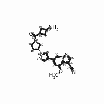 COc1cc(-c2cnn([C@@H]3CCN(C(=O)C4CC(N)C4)C3)c2)cn2ncc(C#N)c12